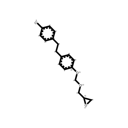 Clc1ccc(CCc2ccc(OCOCC3CO3)cc2)cc1